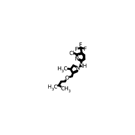 CC(C)CCOCC1=CN(Nc2ccc(C(F)(F)F)c(Cl)n2)CC1C